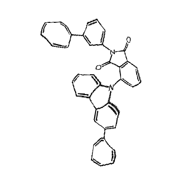 O=C1c2cccc(-n3c4ccccc4c4cc(-c5ccccc5)ccc43)c2C(=O)N1c1cccc(-c2ccccc2)c1